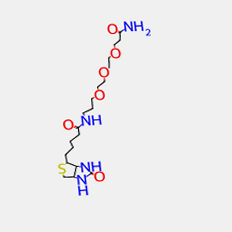 NC(=O)CCOCCOCCOCCCNC(=O)CCCCC1SCC2NC(=O)NC21